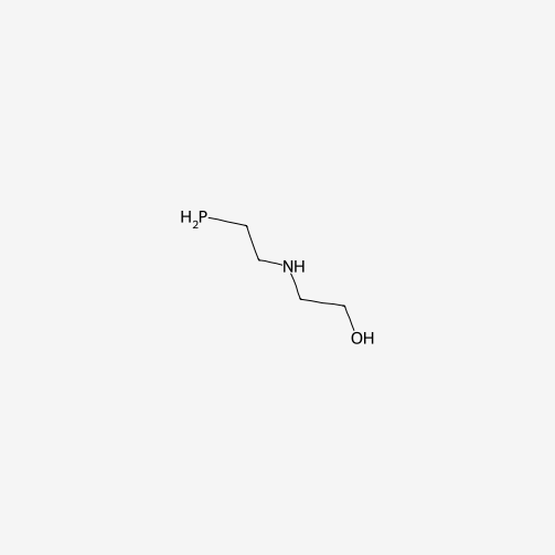 OCCNCCP